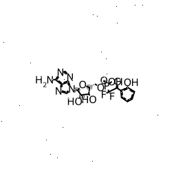 Nc1ncnc2c1ncn2[C@@H]1O[C@H](COP(=O)(O)C(F)(F)C(=O)c2ccccc2O)C(O)[C@@H]1O